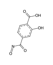 O=NC(=O)c1ccc(C(=O)O)c(O)c1